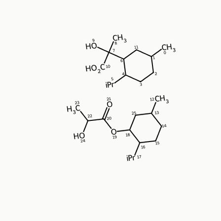 CC1CCC(C(C)C)C(C(C)(O)C(=O)O)C1.CC1CCC(C(C)C)C(OC(=O)C(C)O)C1